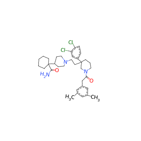 Cc1cc(C)cc(CC(=O)N2CCCC(CCN3CCC(C4(C(N)=O)CCCCC4)CC3)(c3ccc(Cl)c(Cl)c3)C2)c1